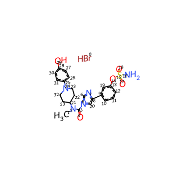 Br.CN(C(=O)n1cnc(-c2cccc(OS(N)(=O)=O)c2)c1)C1CCN(c2ccc(O)cc2)CC1